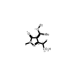 CCCC/C(OCC)=C1/C(=O)N(C)N=C1C(C)C(=O)O